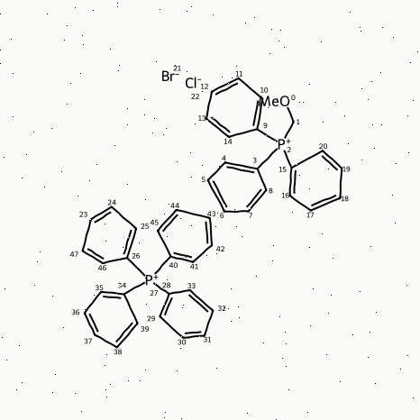 COC[P+](c1ccccc1)(c1ccccc1)c1ccccc1.[Br-].[Cl-].c1ccc([P+](c2ccccc2)(c2ccccc2)c2ccccc2)cc1